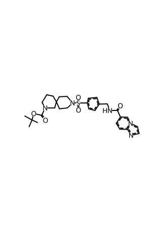 CC(C)(C)OC(=O)N1CCCC2(CCN(S(=O)(=O)c3ccc(CNC(=O)c4ccc5nccn5c4)cc3)CC2)C1